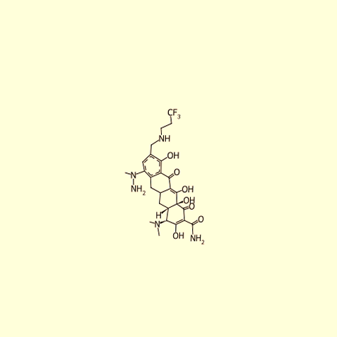 CN(N)c1cc(CNCCC(F)(F)F)c(O)c2c1CC1C[C@H]3[C@H](N(C)C)C(O)=C(C(N)=O)C(=O)[C@@]3(O)C(O)=C1C2=O